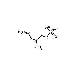 C=CCC(C)CCS(=O)(=O)Cl